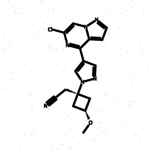 CO[C@H]1C[C@](CC#N)(n2cc(-c3nc(Cl)cn4nccc34)cn2)C1